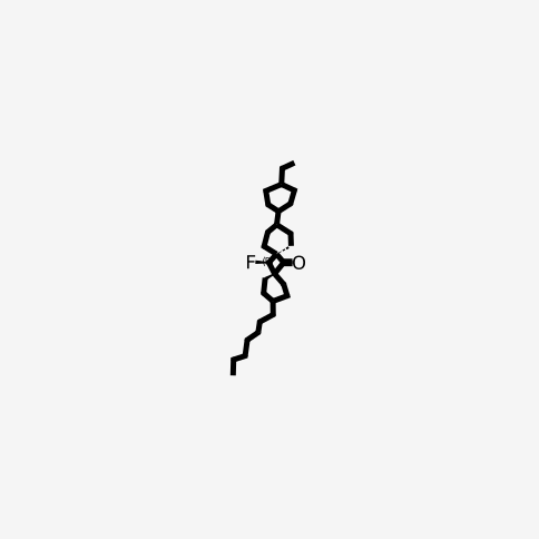 CCCCCCCC1CC[C@]2(CC1)C(=O)[C@@]1(CCC(C3CCC(CC)CC3)CC1)[C@@H]2F